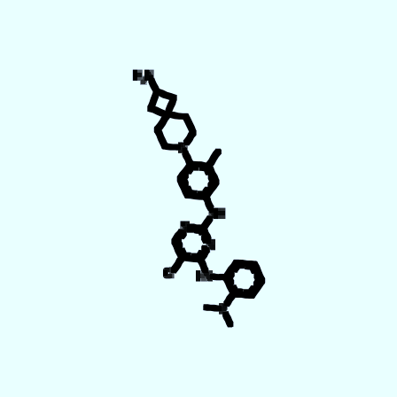 Cc1cc(Nc2ncc(Cl)c(Nc3ccccc3P(C)C)n2)ccc1N1CCC2(CC1)CC(N)C2